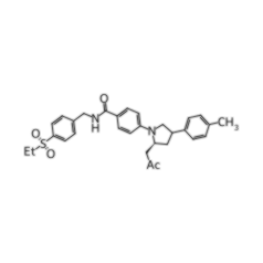 CCS(=O)(=O)c1ccc(CNC(=O)c2ccc(N3CC(c4ccc(C)cc4)C[C@H]3CC(C)=O)cc2)cc1